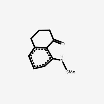 CSNc1cccc2c1C(=O)CCC2